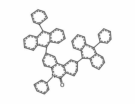 O=c1c2ccc(-c3c4ccccc4c(-c4ccccc4)c4ccccc34)cc2c2cc(-c3c4ccccc4c(-c4ccccc4)c4ccccc34)ccc2n1-c1ccccc1